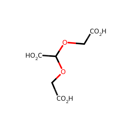 O=C(O)COC(OCC(=O)O)C(=O)O